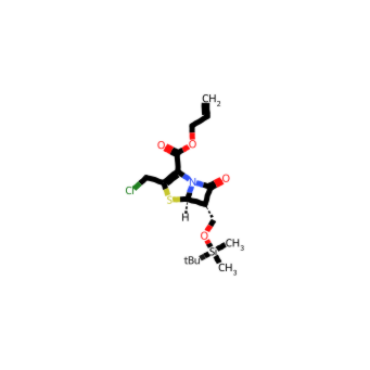 C=CCOC(=O)C1=C(CCl)S[C@@H]2[C@@H](CO[Si](C)(C)C(C)(C)C)C(=O)N12